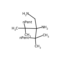 CCCCCC(C)(C)C(N)(CN)C(C)(C)CCCCC